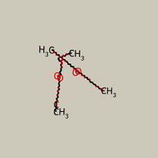 CCCCCCCCCCCCCCCCCCOC(=O)CCCCCCCC=CC1C(CCCCCCCC(=O)OCCCCCCCCCCCCCCCCCC)C=CC(CCCCCC)C1CCCCCC